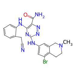 CN1CCc2c(Br)cc(Nc3nnc(C(N)=O)c(Nc4ccccc4CC#N)n3)cc2C1